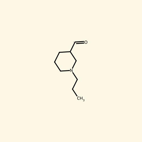 CCCN1CCCC([C]=O)C1